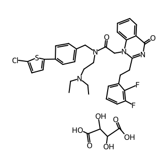 CCN(CC)CCN(Cc1ccc(-c2ccc(Cl)s2)cc1)C(=O)Cn1c(CCc2cccc(F)c2F)nc(=O)c2ccccc21.O=C(O)C(O)C(O)C(=O)O